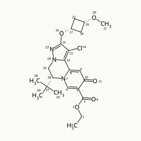 CCOC(=O)c1cn2c(cc1=O)-c1c(Cl)c(O[C@H]3C[C@@H](OC)C3)nn1C[C@H]2C(C)(C)C